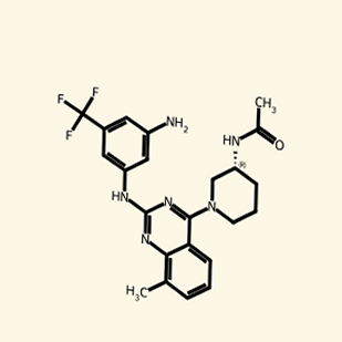 CC(=O)N[C@@H]1CCCN(c2nc(Nc3cc(N)cc(C(F)(F)F)c3)nc3c(C)cccc23)C1